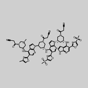 Cc1coc(-c2cnc3c(ccn3C3C[C@@H](Nc4c(-c5nc(S(C)(=O)=O)co5)cnc5c4ccn5[C@H]4C[C@@H](Nc5c(-c6nc(S(C)(=O)=O)co6)cnc6[nH]ccc56)CN(C(=O)CC#N)C4)CN(C(=O)CC#N)C3)c2N[C@@H]2C[C@H](C)CN(C(=O)CC#N)C2)n1